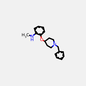 CNc1ccccc1OC1CCN(Cc2ccccc2)CC1